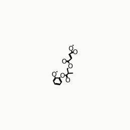 COC(=O)/C=C/C(=O)OCC(C)C(=O)Oc1ccccc1OC